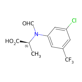 C[C@@H](C(=O)O)N(C=O)c1cc(Cl)cc(C(F)(F)F)c1